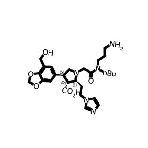 CCCCN(CCCN)C(=O)CN1C[C@H](c2cc(CO)c3c(c2)OCO3)[C@@H](C(=O)O)[C@@H]1CCn1ccnc1